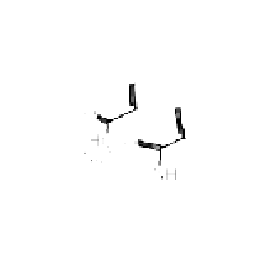 C=CC(=O)O.C=CC(N)=O.[Na]